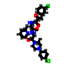 C[C@H]1CN(c2ccc(Cl)cc2)CCN1C(=O)CNC(=O)[C@H](Cc1ccccn1)NC(=O)c1cc2cc(Cl)ccc2o1